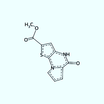 COC(=O)c1cc2[nH]c(=O)c3cccn3c2s1